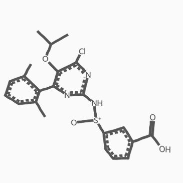 Cc1cccc(C)c1-c1nc(N[S+]([O-])c2cccc(C(=O)O)c2)nc(Cl)c1OC(C)C